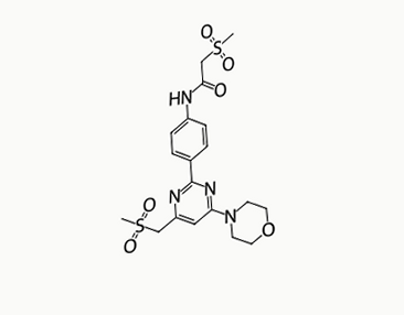 CS(=O)(=O)CC(=O)Nc1ccc(-c2nc(CS(C)(=O)=O)cc(N3CCOCC3)n2)cc1